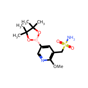 COc1ncc(B2OC(C)(C)C(C)(C)O2)cc1CS(N)(=O)=O